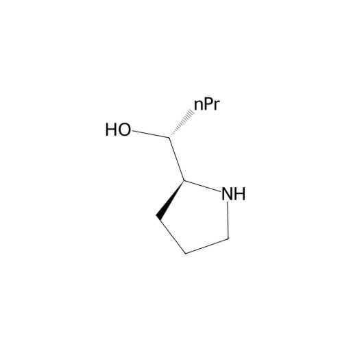 CCC[C@@H](O)[C@@H]1CCCN1